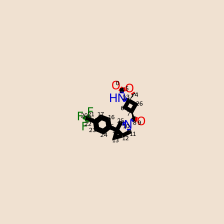 O=C1N[C@]2(CO1)C[C@H](C(=O)N1CC3CC3(c3ccc(C(F)(F)F)cc3)C1)C2